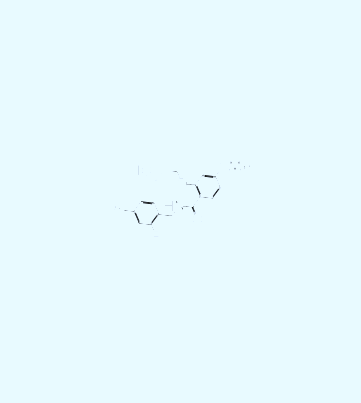 CSc1ccc(C(=O)NCc2ccc(Br)cc2F)c(OCC(=O)O)c1